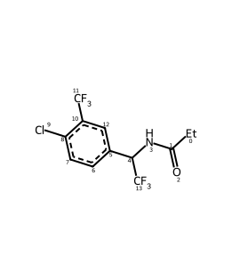 [CH2]CC(=O)NC(c1ccc(Cl)c(C(F)(F)F)c1)C(F)(F)F